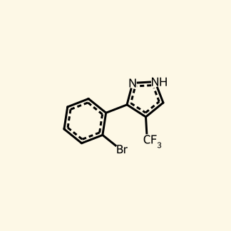 FC(F)(F)c1c[nH]nc1-c1ccccc1Br